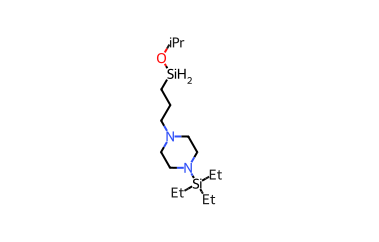 CC[Si](CC)(CC)N1CCN(CCC[SiH2]OC(C)C)CC1